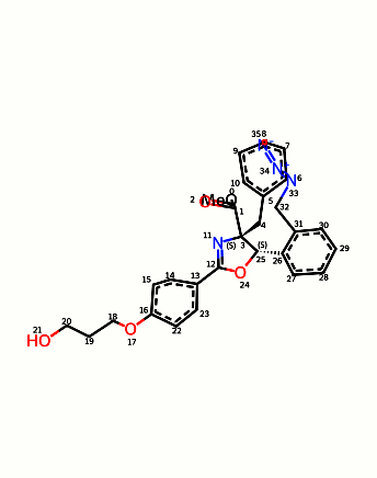 COC(=O)[C@@]1(Cc2ccccc2)N=C(c2ccc(OCCCO)cc2)O[C@H]1c1ccccc1CN=[N+]=[N-]